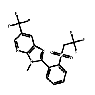 Cn1c(-c2ccccc2S(=O)(=O)CC(F)(F)F)nc2cc(C(F)(F)F)cnc21